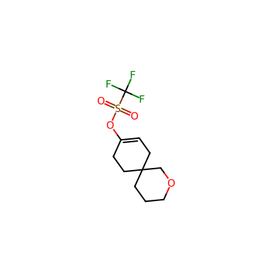 O=S(=O)(OC1=CCC2(CCCOC2)CC1)C(F)(F)F